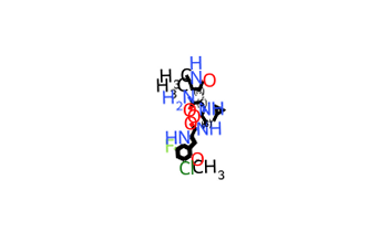 COc1c(Cl)cc(F)c2[nH]c(C(=O)N[C@@H](CC3CC3)C(=O)N[C@@H](C[C@@H]3CC(C)(C)NC3=O)C(N)=O)cc12